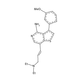 CCN(CC)C/C=C/c1cnc(N)c2c(-c3cccc(OC)c3)csc12